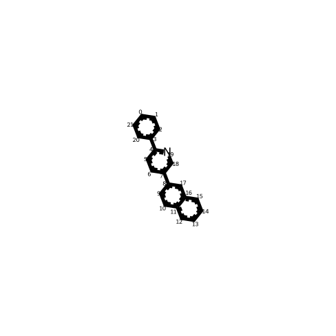 c1ccc(-c2ccc(-c3ccc4ccccc4c3)cn2)cc1